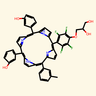 Cc1cccc(-c2c3nc(c(-c4c(F)c(F)c(OCC(O)CO)c(F)c4F)c4ccc([nH]4)c(-c4cccc(O)c4)c4nc(c(-c5cccc(O)c5)c5ccc2[nH]5)C=C4)C=C3)c1